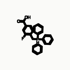 O=C(O)c1ccc(C[PH](c2ccccc2)(c2ccccc2)c2ccccc2)c(F)c1